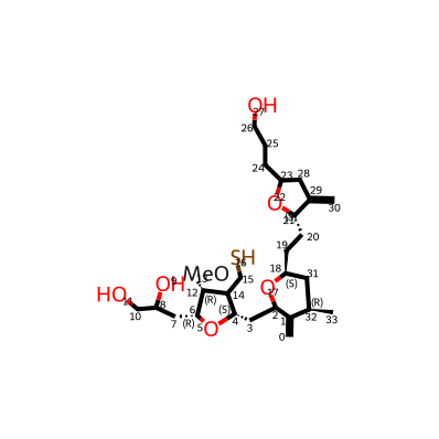 C=C1C(C[C@@H]2O[C@H](CC(O)CO)[C@H](OC)C2CS)O[C@@H](CC[C@@H]2OC(CCCO)CC2=C)C[C@H]1C